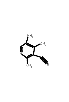 Cc1ncc(N)c(C)c1C#N